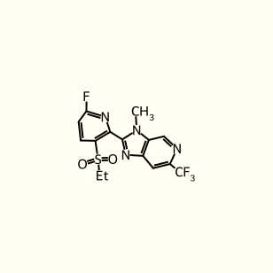 CCS(=O)(=O)c1ccc(F)nc1-c1nc2cc(C(F)(F)F)ncc2n1C